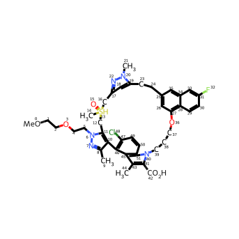 COCCOCCn1nc(C)c2c1C[SH](C)(=O)Cc1cc(n(C)n1)CCc1cc(c3ccc(F)cc3c1)OCCCn1c(C(=O)O)c(C)c3c-2c(Cl)ccc31